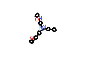 C1=c2oc3ccccc3c2=CCC1c1ccc(-c2cc(-c3ccc(-c4ccccc4)cc3)nc(-c3ccc(-c4nc5ccccc5o4)cc3)n2)cc1